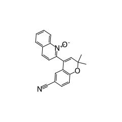 CC1(C)C=C(c2ccc3ccccc3[n+]2[O-])c2cc(C#N)ccc2O1